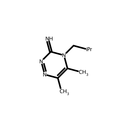 Cc1nnc(=N)n(CC(C)C)c1C